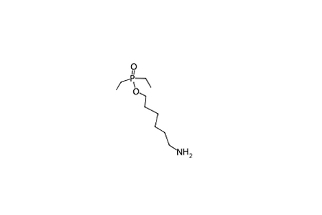 CCP(=O)(CC)OCCCCCCN